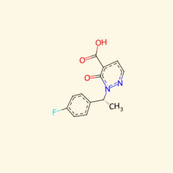 C[C@H](c1ccc(F)cc1)n1nccc(C(=O)O)c1=O